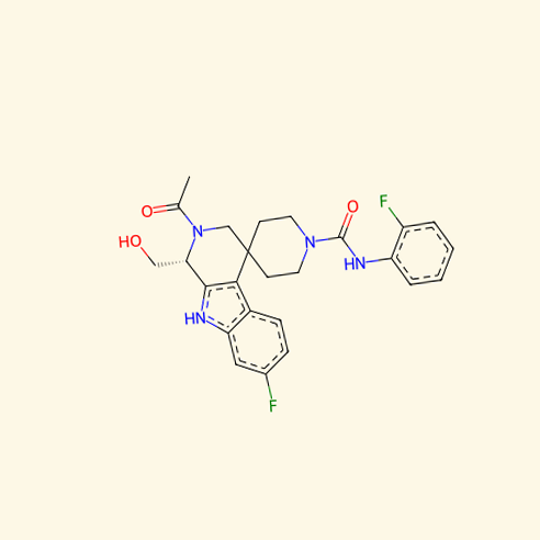 CC(=O)N1CC2(CCN(C(=O)Nc3ccccc3F)CC2)c2c([nH]c3cc(F)ccc23)[C@@H]1CO